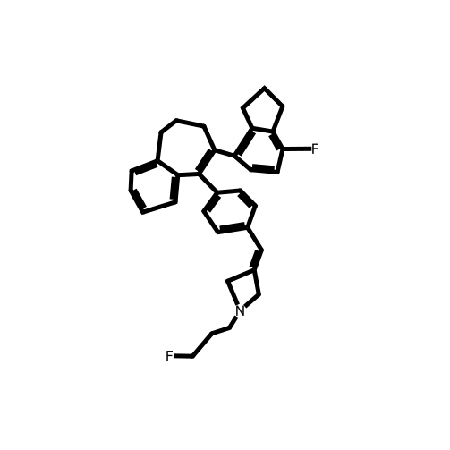 FCCCN1CC(=Cc2ccc(C3=C(c4ccc(F)c5c4CCC5)CCCc4ccccc43)cc2)C1